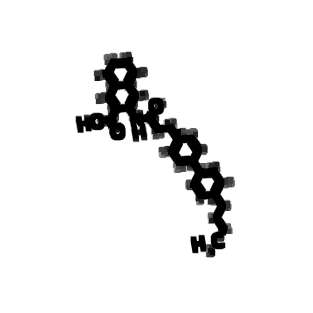 CCCCc1ccc(-c2ccc(CCC(=O)Nc3cc4ccccc4cc3C(=O)O)cc2)cc1